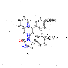 COc1ccc(CCN(Cc2ccccn2)N2C(=O)NCC2c2ccc(OC)cc2)cc1